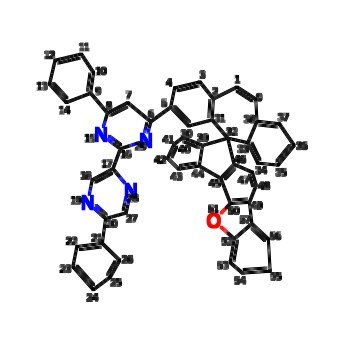 C1=Cc2ccc(-c3cc(-c4ccccc4)nc(-c4cnc(-c5ccccc5)cn4)n3)cc2C2(c3ccccc31)c1ccccc1-c1c2ccc2c1oc1ccccc12